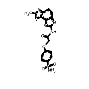 Cc1nc2c(ccc3nc(NC(=O)COc4ccc(S(N)(=O)=O)cc4)sc32)s1